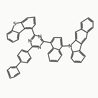 c1ccc(-c2ccc(-c3nc(-c4ccc(-n5c6ccccc6c6cc7ccccc7cc65)c5ccccc45)nc(-c4cccc5sc6ccccc6c45)n3)cc2)cc1